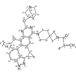 C=C(F)C(=O)N1CC2(CCN(c3nc(OC4CN5CCC4CC5)nc4c(OCC(F)(F)F)c(-c5c(C)ccc6[nH]ncc56)c(C5CC5)cc34)CC2)C1